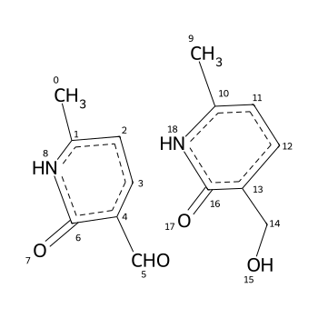 Cc1ccc(C=O)c(=O)[nH]1.Cc1ccc(CO)c(=O)[nH]1